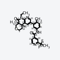 CCN1C(=O)C2(C)COCC[C@H]2c2cc(-c3cc(NC(=O)c4ccnc(C(C)(F)F)c4)ccc3C)cnc21